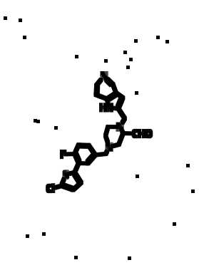 O=CC1CN(Cc2ccc(F)c(-c3ccc(Cl)s3)c2)CCN1Cc1cc2cnccc2[nH]1